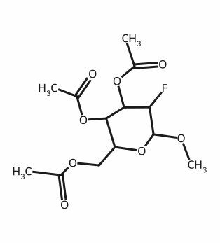 COC1OC(COC(C)=O)C(OC(C)=O)C(OC(C)=O)C1F